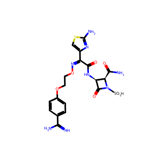 N=C(N)c1ccc(OCCON=C(C(=O)N[C@@H]2C(=O)N(S(=O)(=O)O)[C@@H]2C(N)=O)c2csc(N)n2)cc1